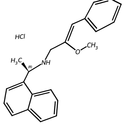 COC(=Cc1ccccc1)CN[C@H](C)c1cccc2ccccc12.Cl